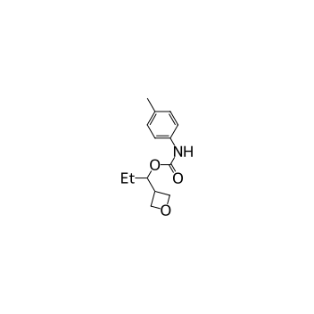 CCC(OC(=O)Nc1ccc(C)cc1)C1COC1